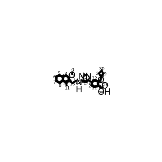 COc1cc2ccccc2c(C)c1CCNc1cc(-c2ccc(C(=O)O)c(OC3CCC3)c2)ncn1